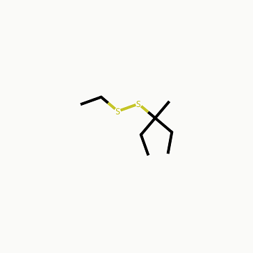 CCSSC(C)(CC)CC